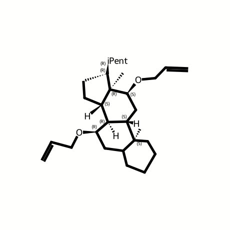 C=CCO[C@H]1C[C@H]2[C@@H]([C@H](OCC=C)CC3CCCC[C@@]32C)[C@@H]2CC[C@H]([C@H](C)CCC)[C@@]12C